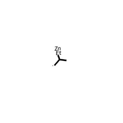 [CH2]C(C)CC.[Zn]